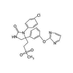 CS(=O)(=O)CCC1(c2cccc(Oc3ncccn3)c2)CNC(=O)N1c1ccc(Cl)cc1